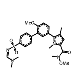 COc1ccc(-c2c(C)cc(C(=O)N(C)OC)n2C)cc1-c1ccc(S(=O)(=O)/N=C\N(C)C)cc1